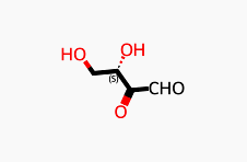 O=CC(=O)[C@@H](O)CO